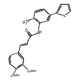 COc1ccc(C=CC(=O)Nc2cc(-c3cccs3)ccc2N)cc1OC